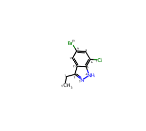 CCc1n[nH]c2c(Cl)cc(Br)cc12